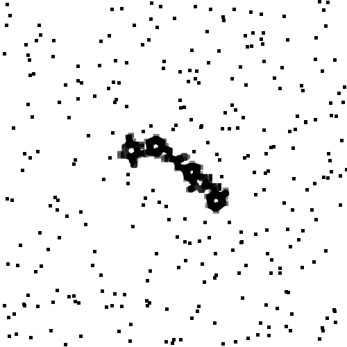 COc1cc(CC(=O)NCc2cccc(CC(NC(C)=O)C(=O)O)c2)ccc1NC(=O)Nc1ccccc1C